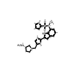 CC(=O)N[C@H]1CCN(Cc2cnc(-c3cc4cccc(N(C)S(=O)(=O)c5cccs5)c4[nH]3)s2)C1